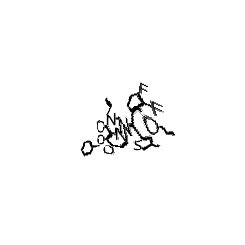 C=CCOc1c(C(c2cc(C)cs2)N2CN(CC=C)C(=O)c3c(OCc4ccccc4)c(=O)ccn32)ccc(F)c1F